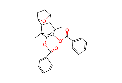 CC12CC(C)(C(OC(=O)c3ccccc3)C1OC(=O)c1ccccc1)C1C3CCC(O3)C12